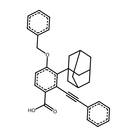 O=C(O)c1ccc(OCc2ccccc2)c(C23CC4CC(CC(C4)C2)C3)c1C#Cc1ccccc1